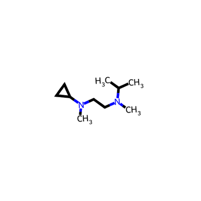 CC(C)N(C)CCN(C)C1CC1